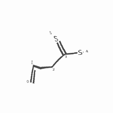 C=CCC([S])=S